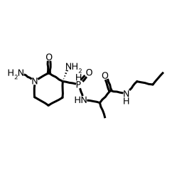 CCCNC(=O)C(C)N[PH](=O)[C@@]1(N)CCCN(N)C1=O